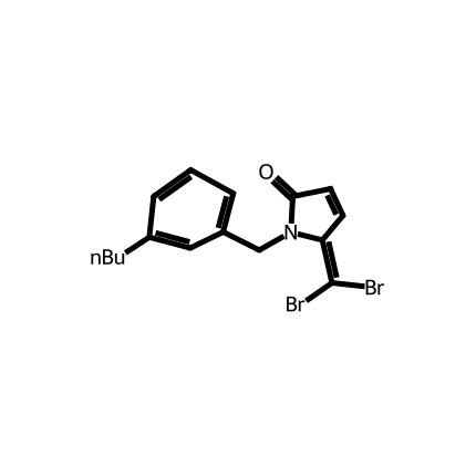 CCCCc1cccc(CN2C(=O)C=CC2=C(Br)Br)c1